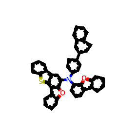 c1ccc2cc(-c3ccc(N(c4cccc5c4oc4ccccc45)c4cc5c6ccccc6sc5c5c4oc4ccccc45)cc3)ccc2c1